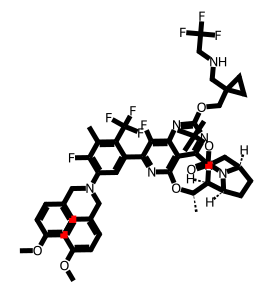 COc1ccc(CN(Cc2ccc(OC)cc2)c2cc(-c3nc4c5c(nc(OCC6(CNCC(F)(F)F)CC6)nc5c3F)N3C[C@H]5CC[C@@H]([C@H]3[C@H](C)O4)N5C(=O)OC(C)(C)C)c(C(F)(F)F)c(C)c2F)cc1